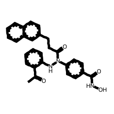 CC(=O)c1ccccc1NN(C(=O)CCc1ccc2ccccc2c1)c1ccc(C(=O)NO)cc1